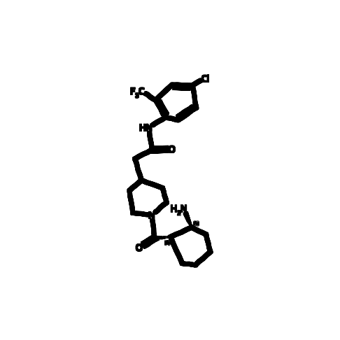 N[C@H]1CCCC[C@@H]1C(=O)N1CCC(CC(=O)Nc2ccc(Cl)cc2C(F)(F)F)CC1